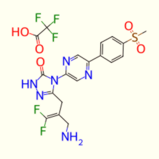 CS(=O)(=O)c1ccc(-c2cnc(-n3c(CC(CN)=C(F)F)n[nH]c3=O)cn2)cc1.O=C(O)C(F)(F)F